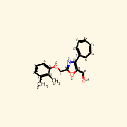 Cc1cccc(OCc2nc(C3=CC=CC=CC3)c(C=O)o2)c1C